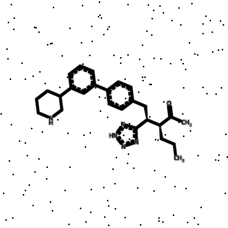 CCC[C@H](C(C)=O)[C@H](Cc1ccc(-c2cccc(C3CCCNC3)c2)cc1)c1nn[nH]n1